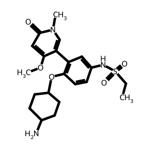 CCS(=O)(=O)Nc1ccc(OC2CCC(N)CC2)c(-c2cn(C)c(=O)cc2OC)c1